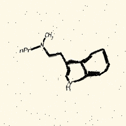 CCCN(C)CCc1c[nH]c2ccccc12